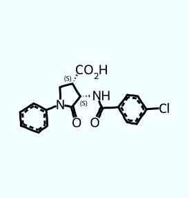 O=C(N[C@@H]1C(=O)N(c2ccccc2)C[C@@H]1C(=O)O)c1ccc(Cl)cc1